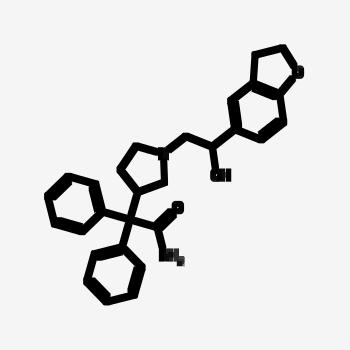 NC(=O)C(c1ccccc1)(c1ccccc1)C1CCN(CC(O)c2ccc3c(c2)CCO3)C1